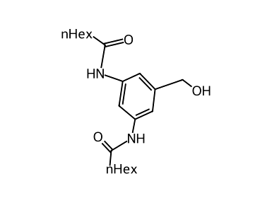 CCCCCCC(=O)Nc1cc(CO)cc(NC(=O)CCCCCC)c1